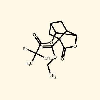 CCC(C)(C)C(=O)OC1C2CC3C1OC(=O)C3(C(=O)OCC(F)(F)F)C2